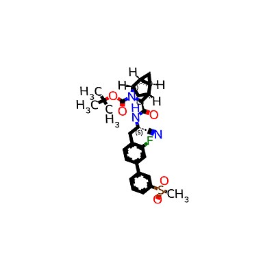 CC(C)(C)OC(=O)N1[C@H](C(=O)N[C@H](C#N)Cc2ccc(-c3cccc(S(C)(=O)=O)c3)cc2F)[C@@H]2C[C@H]1[C@H]1C[C@@H]21